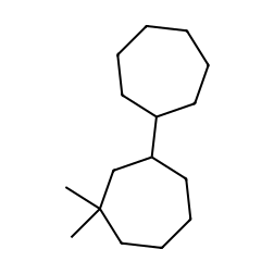 CC1(C)CCCCC(C2CCCCCC2)C1